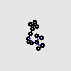 c1ccc([Si]2(c3ccccc3)c3ccccc3-c3cc(-c4ccc(-c5ccc6ccc7ccc(-c8cc(-n9c%10ccccc%10c%10ccccc%109)cc(-n9c%10ccccc%10c%10ccccc%109)c8)nc7c6n5)cc4)ccc32)cc1